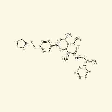 CCN(C(C)=O)C(SNc1ccc(CCN2CCCC2)cc1)[C@H](N)C(=O)NCC(C)c1ccccc1